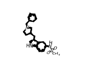 CS(=O)(=O)Nc1ccc2[nH]cc(CC3CCN(Cc4ccccc4)C3)c2c1